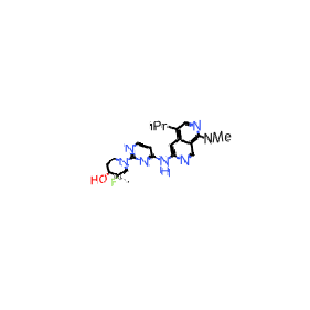 CNc1ncc(C(C)C)c2cc(Nc3ccnc(N4CCC(O)[C@](C)(F)C4)n3)ncc12